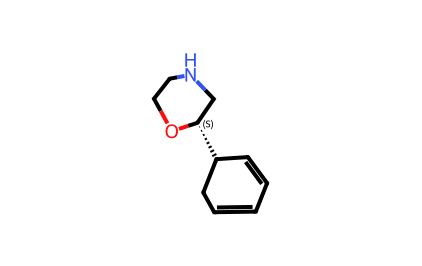 C1=CCC([C@H]2CNCCO2)C=C1